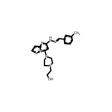 Cc1cccc(/C=N/Nc2cc(N3CCN(CCO)CC3)n3nccc3n2)c1